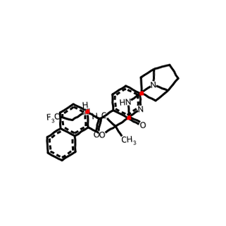 CC(C)(Oc1nccc2ccccc12)C(=O)NC1CC2CCC(C1)N2c1ccc(C(=O)NCC(F)(F)F)cn1